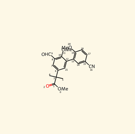 COC(=O)C(C)(C)c1cc(C=O)c(OC)c(-c2cc(C#N)ccc2OC)c1